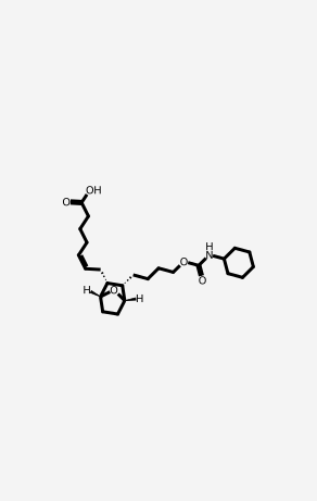 O=C(O)CCC/C=C\C[C@@H]1[C@H](CCCCOC(=O)NC2CCCCC2)[C@@H]2CC[C@H]1O2